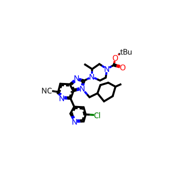 CC1CCC(Cn2c(N3CCN(C(=O)OC(C)(C)C)CC3C)nc3cc(C#N)nc(-c4cncc(Cl)c4)c32)CC1